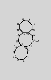 CN1CC2CCCCCCCC2CCC2CCCCCCC2C1